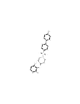 O=S(=O)(c1ccc(-c2ccc(Br)cc2)cc1)N1CCC(Oc2c(Cl)cccc2Cl)CC1